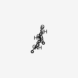 Cc1cc(S(=O)(=O)NC(=O)c2ccc(N3CCC(NC(=O)CCc4ccccc4)CC3)cc2Oc2ccccc2)ccc1NCC1CCOCC1